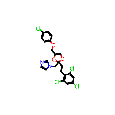 Clc1ccc(OCC2COC(CCc3c(Cl)cc(Cl)cc3Cl)(Cn3ccnc3)O2)cc1